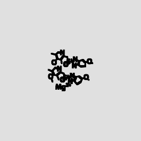 COc1ccc2[n-]c([S@+]([O-])Cc3ncc(C)c(OC)c3C)nc2c1.COc1ccc2[n-]c([S@+]([O-])Cc3ncc(C)c(OC)c3C)nc2c1.[Mg+2]